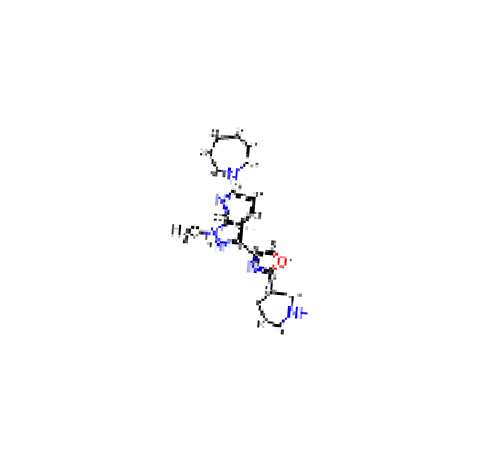 Cn1nc(-c2coc(C3CCCNC3)n2)c2ccc(N3CCCCCC3)nc21